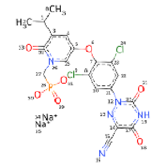 CC(C)c1cc(Oc2c(Cl)cc(-n3nc(C#N)c(=O)[nH]c3=O)cc2Cl)cn(CP(=O)([O-])[O-])c1=O.[Na+].[Na+]